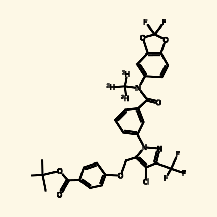 [2H]C([2H])([2H])N(C(=O)c1cccc(-n2nc(C(F)(F)F)c(Cl)c2COc2ccc(C(=O)OC(C)(C)C)cc2)c1)c1ccc2c(c1)OC(F)(F)O2